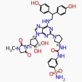 CN1CC(=O)N([C@H]2C[C@@H](n3cnc4c(NCC(c5ccc(O)cc5)c5ccc(O)cc5)nc(N5CC[C@@H](NC(=O)Nc6cccc(S(N)(=O)=O)c6)C5)nc43)[C@H](O)[C@@H]2O)C1=O